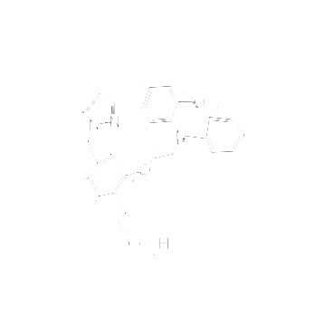 O=C(O)CCc1ccc(Cn2cccn2)cc1OCCN1c2ccccc2Oc2ccccc21